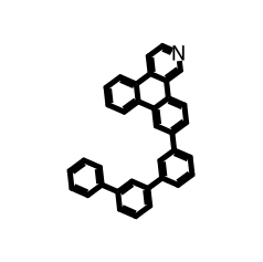 c1ccc(-c2cccc(-c3cccc(-c4ccc5c6cnccc6c6ccccc6c5c4)c3)c2)cc1